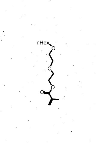 C=C(C)C(=O)OCCOCCOCCCCCC